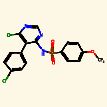 O=S(=O)(Nc1ncnc(Cl)c1-c1ccc(Cl)cc1)c1ccc(OC(F)(F)F)cc1